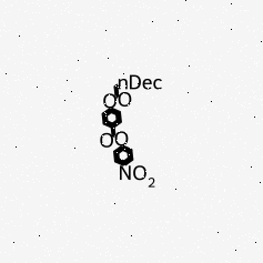 CCCCCCCCCCCC(=O)Oc1ccc(C(=O)Oc2ccc([N+](=O)[O-])cc2)cc1